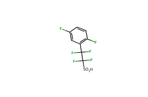 O=S(=O)(O)C(F)(F)C(F)(F)c1cc(F)ccc1F